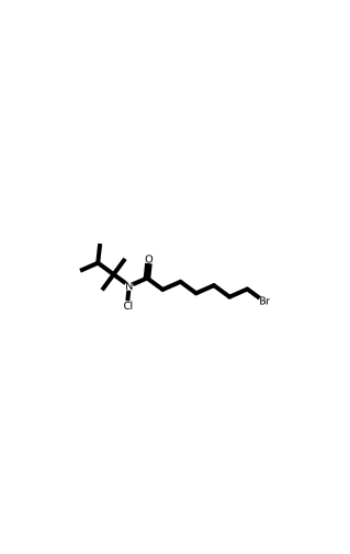 CC(C)C(C)(C)N(Cl)C(=O)CCCCCCBr